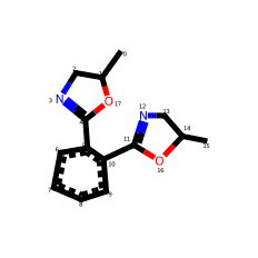 CC1CN=C(c2ccccc2C2=NCC(C)O2)O1